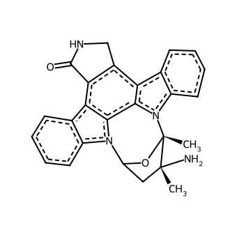 C[C@@]1(N)CC2O[C@]1(C)n1c3ccccc3c3c4c(c5c6ccccc6n2c5c31)C(=O)NC4